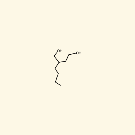 CCCC[C](CO)CCO